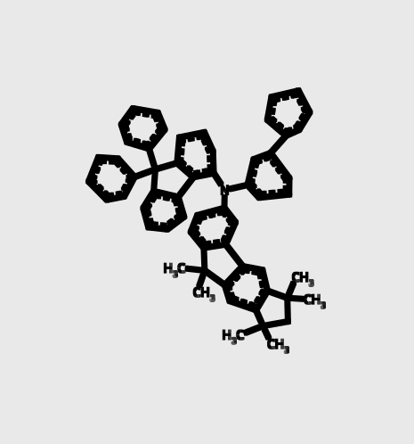 CC1(C)CC(C)(C)c2cc3c(cc21)-c1cc(N(c2cccc(-c4ccccc4)c2)c2cccc4c2-c2ccccc2C4(c2ccccc2)c2ccccc2)ccc1C3(C)C